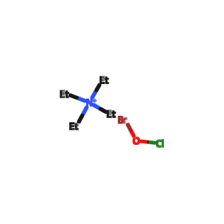 CC[N+](CC)(CC)CC.ClOBr